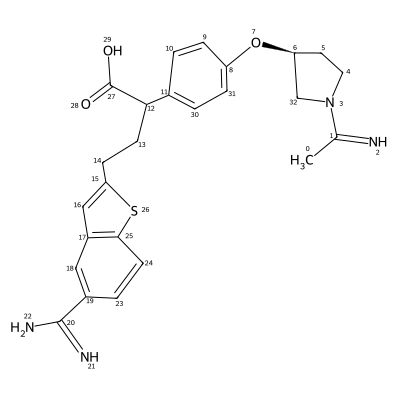 CC(=N)N1CC[C@H](Oc2ccc(C(CCc3cc4cc(C(=N)N)ccc4s3)C(=O)O)cc2)C1